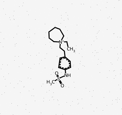 CC[N+]1(CCc2ccc(NS(C)(=O)=O)cc2)CCCCCC1